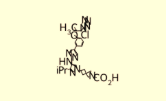 CC(Cn1cnnn1)Oc1cc(-c2cnc(Nc3cn(C4CC5(C4)CN(C(=O)O)C5)nc3C(C)C)nc2)ccc1Cl